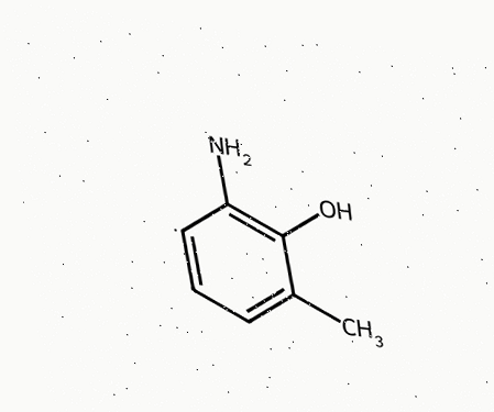 Cc1cc[c]c(N)c1O